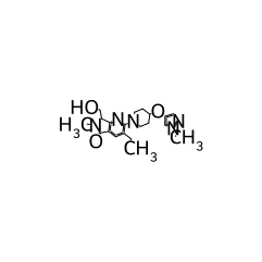 CCc1cc2c(nc1N1CCC(Oc3cnn(C)c3)CC1)C(CO)N(C)C2=O